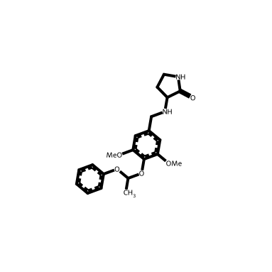 COc1cc(CNC2CCNC2=O)cc(OC)c1OC(C)Oc1ccccc1